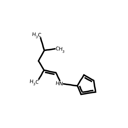 C/C(=C\NC1=C=CC=C1)CC(C)C